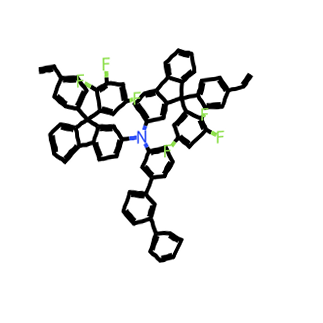 C=Cc1ccc(C2(c3cc(F)cc(F)c3F)c3ccccc3-c3ccc(N(c4cccc(-c5cccc(-c6ccccc6)c5)c4)c4ccc5c(c4)C(c4ccc(C=C)cc4)(c4cc(F)cc(F)c4F)c4ccccc4-5)cc32)cc1